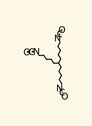 O=C=NCCCCCC(CCCCCN=C=O)CCCCCN=C=O